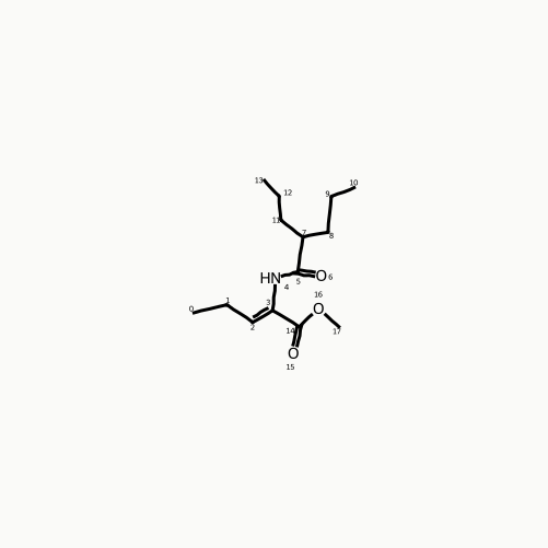 CCC=C(NC(=O)C(CCC)CCC)C(=O)OC